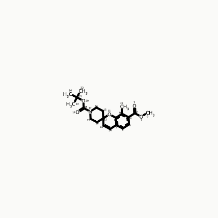 COC(=O)c1ccc2c(c1C)OC1(C=C2)CCN(C(=O)OC(C)(C)C)CC1